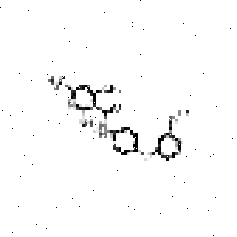 CCOc1cccc(Oc2ccc(NC(=O)c3c(C)cc(C)nc3N)cc2)c1